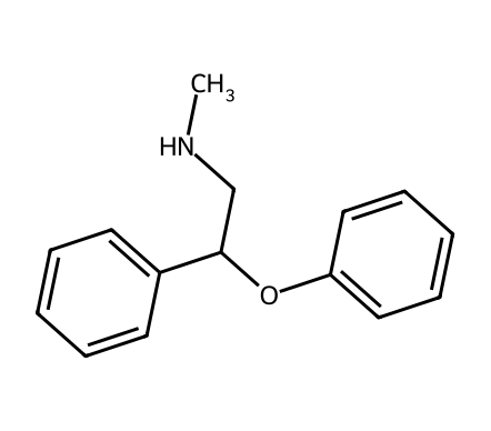 CNCC(Oc1ccccc1)c1ccccc1